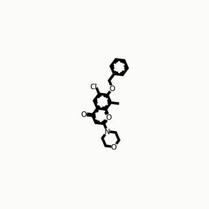 Cc1c(OCc2ccccc2)c(Cl)cc2c(=O)cc(N3CCOCC3)oc12